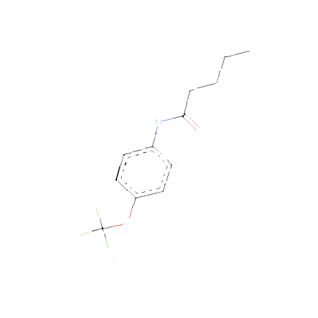 CCCCC(=O)Nc1ccc(OC(F)(F)F)cc1